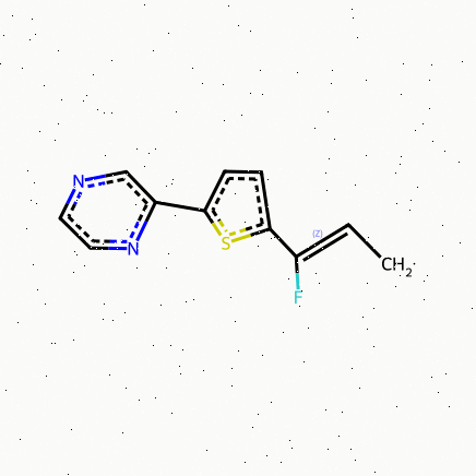 [CH2]/C=C(\F)c1ccc(-c2cnccn2)s1